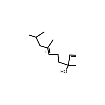 C=CC(C)(O)CC/C=C(\C)CC(C)C